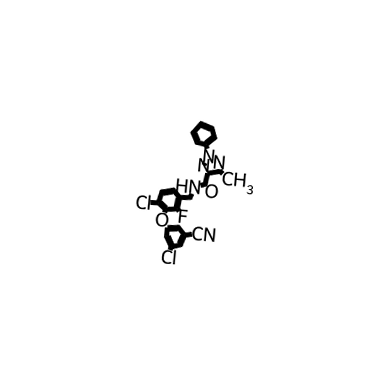 Cc1nn(-c2ccccc2)nc1C(=O)NCc1ccc(Cl)c(Oc2cc(Cl)cc(C#N)c2)c1F